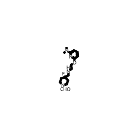 CN(C)c1cccc(OCCNCC2(F)CCN(C=O)CC2)n1